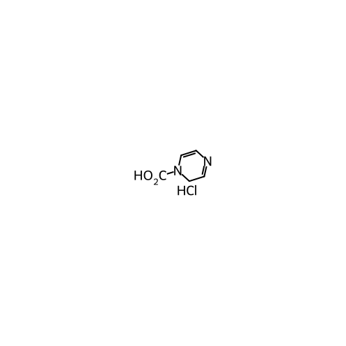 Cl.O=C(O)N1C=CN=CC1